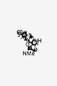 CNC(=O)C1C=CC1[C@H]1CCNC[C@@H]1C(=O)N(Cc1cccc(SC(F)(F)F)c1)C1CC1